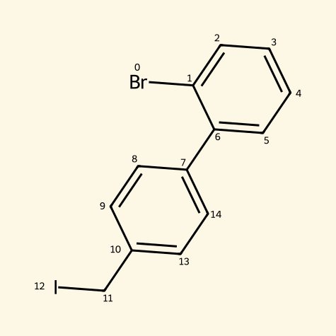 Brc1ccccc1-c1ccc(CI)cc1